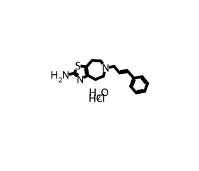 Cl.Nc1nc2c(s1)CCN(CC=Cc1ccccc1)CC2.O